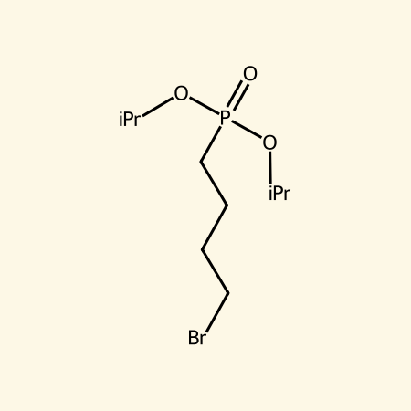 CC(C)OP(=O)(CCCCBr)OC(C)C